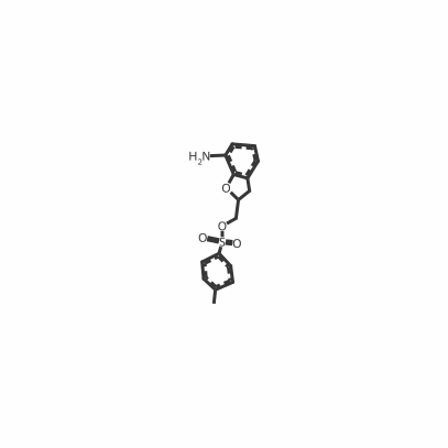 Cc1ccc(S(=O)(=O)OCC2Cc3cccc(N)c3O2)cc1